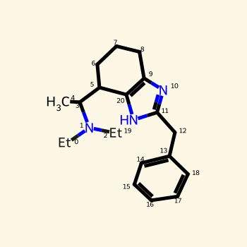 CCN(CC)C(C)C1CCCc2nc(Cc3ccccc3)[nH]c21